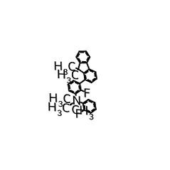 CC1(C)c2ccccc2-c2cccc(-c3cccc(N(c4ccccc4F)C(C)(C)C)c3F)c21